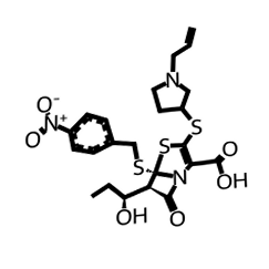 C=CCN1CCC(SC2=C(C(=O)O)N3C(=O)[C@@H]([C@@H](O)CC)[C@@]3(SCc3ccc([N+](=O)[O-])cc3)S2)C1